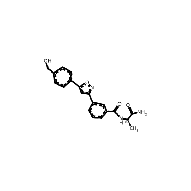 C[C@@H](NC(=O)c1cccc(-c2cc(-c3ccc(CO)cc3)on2)c1)C(N)=O